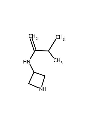 C=C(NC1CNC1)C(C)C